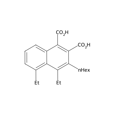 CCCCCCc1c(C(=O)O)c(C(=O)O)c2cccc(CC)c2c1CC